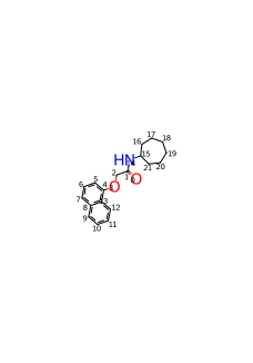 O=C(COc1cccc2ccccc12)NC1CCCCCC1